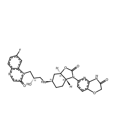 O=C1COc2ccc(N3C(=O)O[C@@H]4C[C@H](NC[C@H](O)Cn5c(=O)cnc6ccc(F)cc65)CC[C@H]43)nc2N1